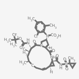 Cc1cc(C)c(N(C(=O)O)[C@@H]2C[C@H]3C(=O)N[C@]4(C(=O)NS(=O)(=O)C5(C)CC5)C[C@H]4/C=C\CC[C@@H](C)C[C@@H](C)[C@H](NC(=O)OC(C)(C)C(F)(F)F)C(=O)N3C2)c(Cl)c1